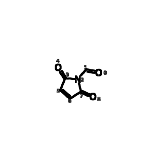 O=CN1C(=O)C=CC1=O